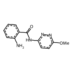 COc1ccc(NC(=O)c2ccccc2N)nn1